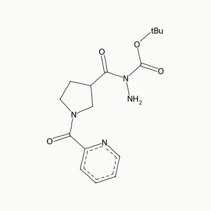 CC(C)(C)OC(=O)N(N)C(=O)C1CCN(C(=O)c2ccccn2)C1